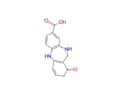 O=C1CC=CC2=C1CNc1cc(C(=O)O)ccc1N2